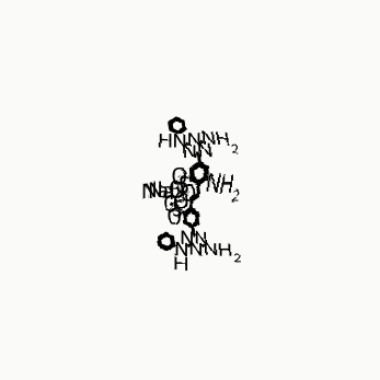 Nc1nc(Nc2ccccc2)nc(-c2ccc(C=Cc3c(N)cc(-c4nc(N)nc(Nc5ccccc5)n4)cc3S(=O)(=O)[O-])c(S(=O)(=O)[O-])c2)n1.[Na+].[Na+]